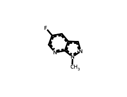 Cn1ncc2cc(F)cnc21